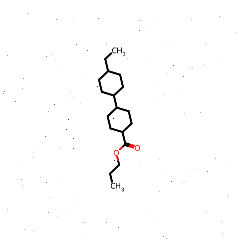 CCCOC(=O)C1CCC(C2CCC(CC)CC2)CC1